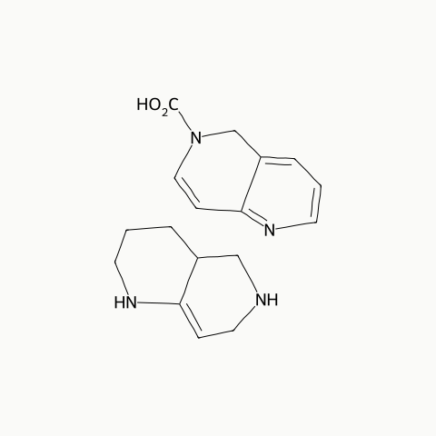 C1=C2NCCCC2CNC1.O=C(O)N1C=Cc2ncccc2C1